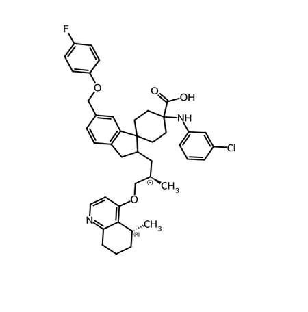 C[C@@H](COc1ccnc2c1[C@H](C)CCC2)CC1Cc2ccc(COc3ccc(F)cc3)cc2C12CCC(Nc1cccc(Cl)c1)(C(=O)O)CC2